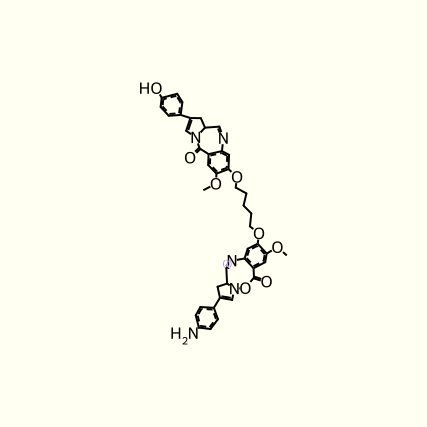 COc1cc2c(cc1OCCCCCOc1cc3c(cc1OC)C(=O)ON1C=C(c4ccc(N)cc4)CC1/C=N\3)N=CC1CC(c3ccc(O)cc3)=CN1C2=O